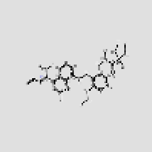 C=C/C=C(/c1cc(C)nc2c(OCc3c(CCC)cncc3CN(C)C(=O)C(C)(CC)CC)cccc12)N(C)C